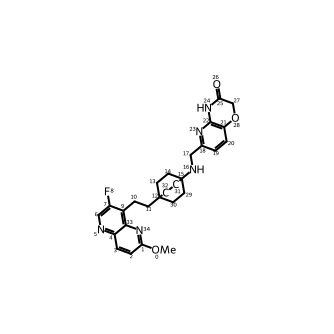 COc1ccc2ncc(F)c(CCC34CCC(NCc5ccc6c(n5)NC(=O)CO6)(CC3)CC4)c2n1